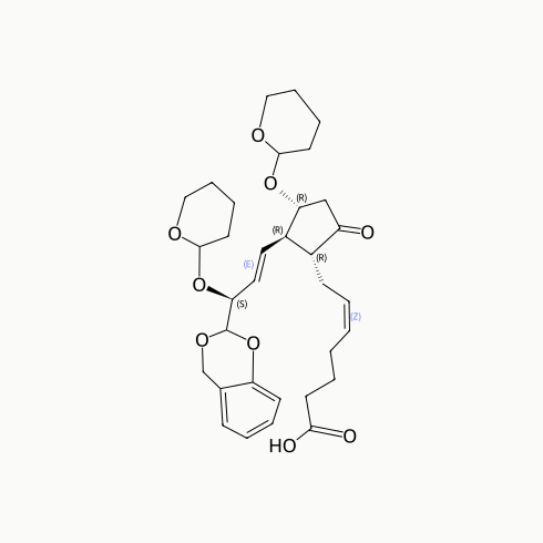 O=C(O)CCC/C=C\C[C@H]1C(=O)C[C@@H](OC2CCCCO2)[C@@H]1/C=C/[C@H](OC1CCCCO1)C1OCc2ccccc2O1